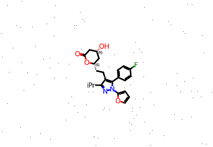 CC(C)c1nn(-c2ccco2)c(-c2ccc(F)cc2)c1CC[C@H]1C[C@@H](O)CC(=O)O1